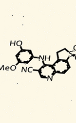 COc1cc(O)cc(Nc2c(C#N)cnc3ccc4c(c23)CCS4(=O)=O)c1